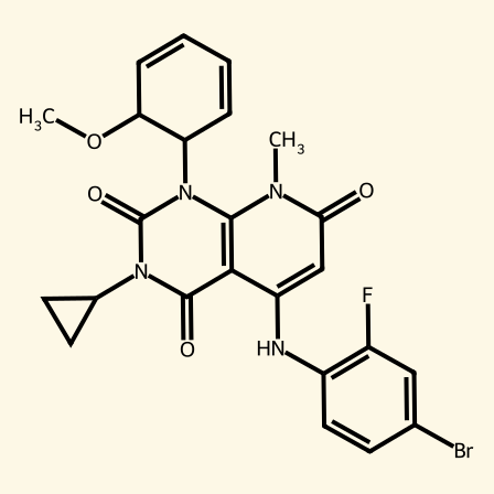 COC1C=CC=CC1n1c(=O)n(C2CC2)c(=O)c2c(Nc3ccc(Br)cc3F)cc(=O)n(C)c21